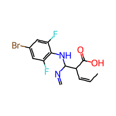 C=NC(Nc1c(F)cc(Br)cc1F)C(/C=C\C)C(=O)O